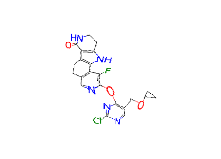 O=C1NCCc2[nH]c3c(c21)CCc1cnc(Oc2nc(Cl)ncc2COC2CC2)c(F)c1-3